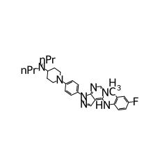 CCCN(CCC)C1CCN(c2ccc(-n3ncc4c(Nc5ccc(F)cc5C)ncnc43)cc2)CC1